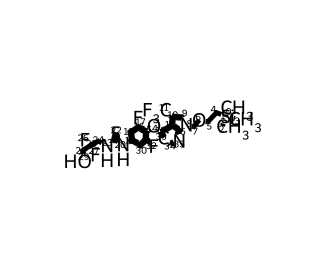 C[Si](C)(C)CCOCn1cc(C(F)(F)F)c2c(Oc3c(F)cc(NC(=S)NCC(F)(F)CO)cc3F)ccnc21